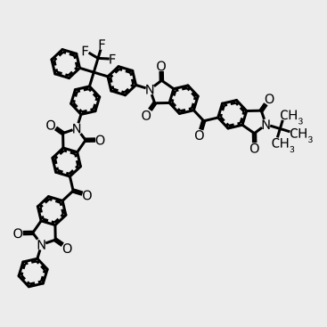 CC(C)(C)N1C(=O)c2ccc(C(=O)c3ccc4c(c3)C(=O)N(c3ccc(C(c5ccccc5)(c5ccc(N6C(=O)c7ccc(C(=O)c8ccc9c(c8)C(=O)N(c8ccccc8)C9=O)cc7C6=O)cc5)C(F)(F)F)cc3)C4=O)cc2C1=O